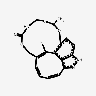 C[C@@H]1CCNC(=O)OCC2=C(F)c3c(ccc4[nH]nc(c34)C=CC=C2)O1